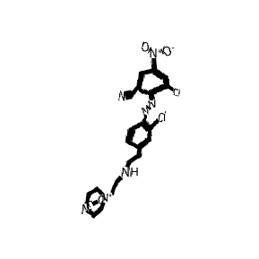 N#Cc1cc([N+](=O)[O-])cc(Cl)c1N=Nc1ccc(CCNCC[N+]23CCN(CC2)CC3)cc1Cl